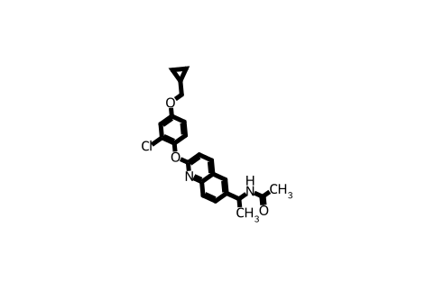 CC(=O)NC(C)c1ccc2nc(Oc3ccc(OCC4CC4)cc3Cl)ccc2c1